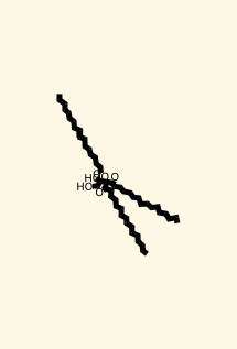 CCCCCCCCC=CCCCCCCCC(=O)OC(C(=O)CCCCCCCCCCCCCCC)(C(=O)CCCCCCCCCCCCCCC)C(O)CO